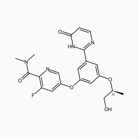 C[C@@H](CO)Oc1cc(Oc2cnc(C(=O)N(C)C)c(F)c2)cc(-c2nccc(=O)[nH]2)c1